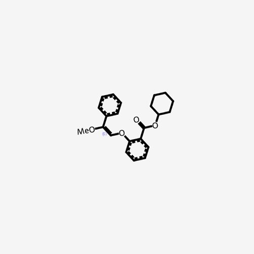 CO/C(=C/Oc1ccccc1C(=O)OC1CCCCC1)c1ccccc1